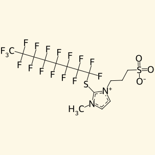 Cn1cc[n+](CCCS(=O)(=O)[O-])c1SC(F)(F)C(F)(F)C(F)(F)C(F)(F)C(F)(F)C(F)(F)C(F)(F)C(F)(F)F